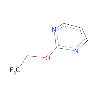 FC(F)(F)COc1ncccn1